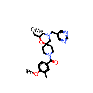 COCC1CN(Cc2cncnc2)CC2(CCN(C(=O)c3ccc(OC(C)C)c(C)c3)CC2)O1